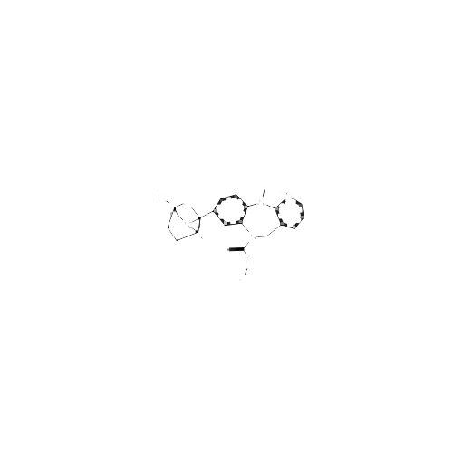 CC(C)(C)OC(=O)N1Cc2cccnc2N(C(=O)O)c2ccc(N3C[C@@H]4CC[C@H]3CO4)cc21